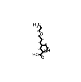 CCCOCCCC1CCNC(C(=O)O)C1